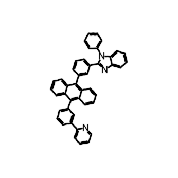 c1ccc(-n2c(-c3cccc(-c4c5ccccc5c(-c5cccc(-c6ccccn6)c5)c5ccccc45)c3)nc3ccccc32)cc1